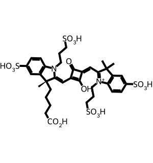 CC1(C)C(C=C2C(=O)C(C=C3N(CCCS(=O)(=O)O)c4ccc(S(=O)(=O)O)cc4[C@@]3(C)CCCCC(=O)O)=C2O)=[N+](CCCS(=O)(=O)O)c2ccc(S(=O)(=O)O)cc21